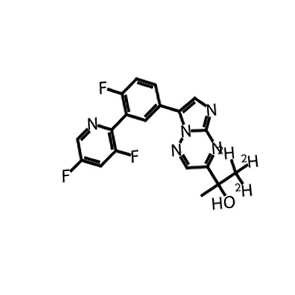 [2H]C([2H])([2H])C(C)(O)c1cnn2c(-c3ccc(F)c(-c4ncc(F)cc4F)c3)cnc2n1